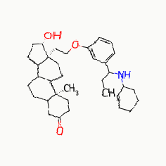 CCC(NC1CCCCC1)c1cccc(OCC[C@]23CCC4C(CCC5CC(=O)CC[C@@]54C)C2CC[C@@H]3O)c1